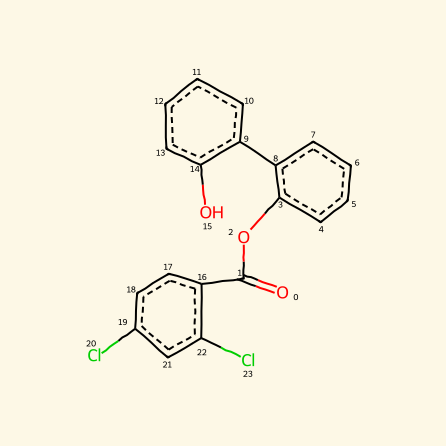 O=C(Oc1ccccc1-c1ccccc1O)c1ccc(Cl)cc1Cl